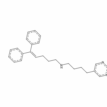 C(CCCNCCCCc1cncnc1)=C(c1ccccc1)c1ccccc1